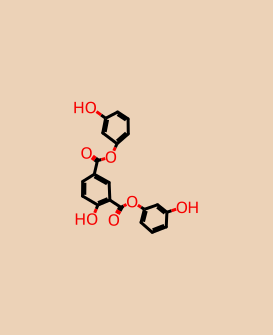 O=C(Oc1cccc(O)c1)c1ccc(O)c(C(=O)Oc2cccc(O)c2)c1